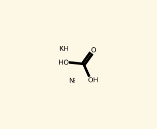 O=C(O)O.[KH].[N]